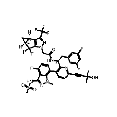 Cn1nc(NS(C)(=O)=O)c2c(F)ccc(-c3ccc(C#CC(C)(C)O)nc3[C@H](Cc3cc(F)cc(F)c3)NC(=O)Cn3nc(C(F)(F)F)c4c3C(F)(F)[C@@H]3C[C@H]43)c21